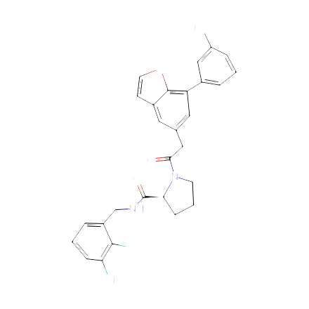 CCc1cccc(-c2cc(CC(=O)N3C[C@H](F)C[C@H]3C(=O)NCc3cccc(Cl)c3F)cc3ccoc23)c1